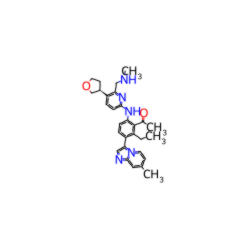 CCc1c(-c2cnc3cc(C)ccn23)ccc(Nc2ccc([C@@H]3CCOC3)c(CNC)n2)c1C(C)=O